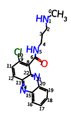 CNCCCNC(=O)c1c(Cl)ccc2nc3ccccc3nc12